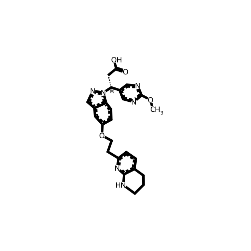 COc1ncc([C@@H](CC(=O)O)n2ncc3cc(OCCc4ccc5c(n4)NCCC5)ccc32)cn1